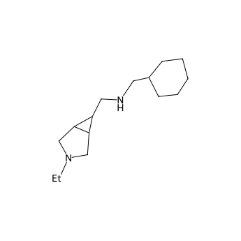 CCN1CC2C(CNCC3CCCCC3)C2C1